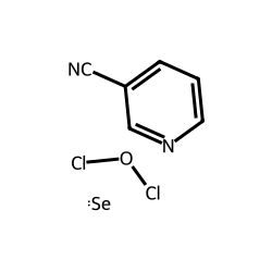 ClOCl.N#Cc1cccnc1.[Se]